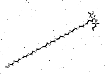 CCC[Si](C)(C)O[Si](C)(CCCOCCOCCOCCOCCOCCOCCOCCOCCOCCOCCOCCO)O[SiH](C)C